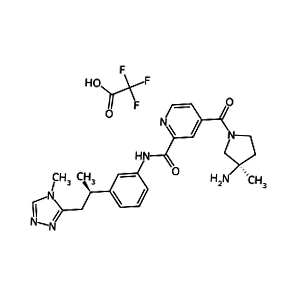 C[C@H](Cc1nncn1C)c1cccc(NC(=O)c2cc(C(=O)N3CC[C@@](C)(N)C3)ccn2)c1.O=C(O)C(F)(F)F